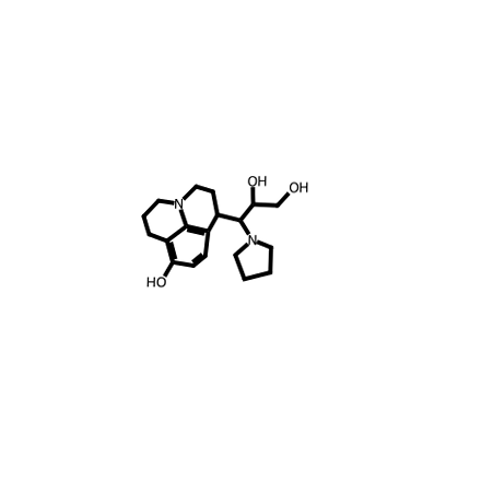 OCC(O)C(C1CCN2CCCc3c(O)ccc1c32)N1CCCC1